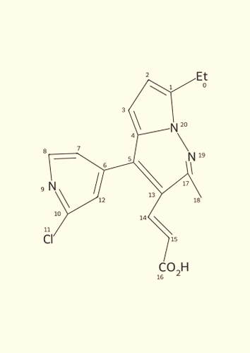 CCc1ccc2c(-c3ccnc(Cl)c3)c(C=CC(=O)O)c(C)nn12